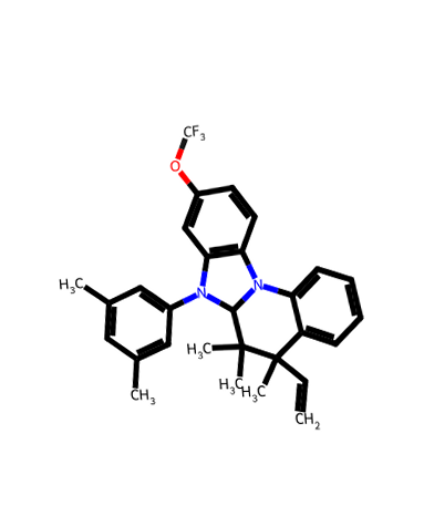 C=CC1(C)c2ccccc2N2c3ccc(OC(F)(F)F)cc3N(c3cc(C)cc(C)c3)C2C1(C)C